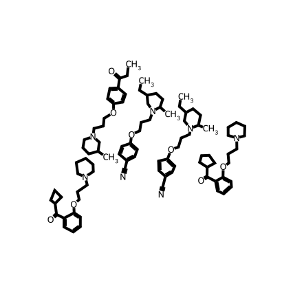 CCC(=O)c1ccc(OCCCN2CCCC(C)C2)cc1.CCC1CCC(C)N(CCCOc2ccc(C#N)cc2)C1.CCC1CCC(C)N(CCCOc2ccc(C#N)cc2)C1.O=C(c1ccccc1OCCCN1CCCCC1)C1CCC1.O=C(c1ccccc1OCCCN1CCCCC1)C1CCCC1